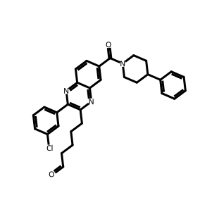 O=CCCCCc1nc2cc(C(=O)N3CCC(c4ccccc4)CC3)ccc2nc1-c1cccc(Cl)c1